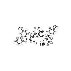 COc1ccc(S(=O)(=O)N2[C@@H](CCc3c(F)cccc3NC(=O)C(N)C(Cc3ccc(F)cc3)c3ccc(Cl)cc3)CNC[C@@H]2C)cc1